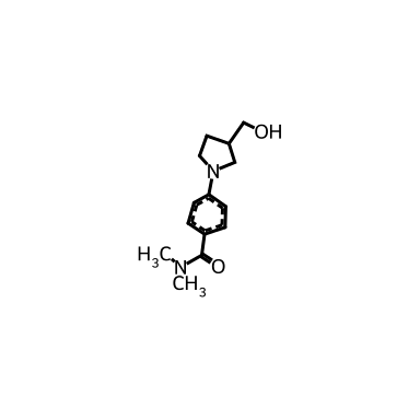 CN(C)C(=O)c1ccc(N2CCC(CO)C2)cc1